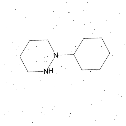 C1CCC(N2CCCCN2)CC1